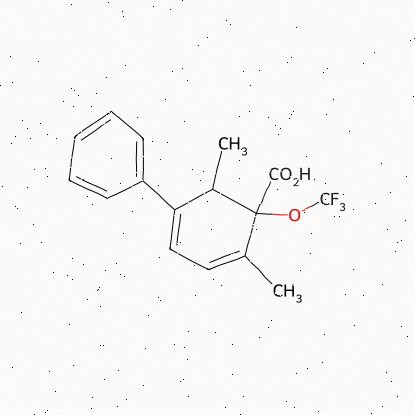 CC1=CC=C(c2ccccc2)C(C)C1(OC(F)(F)F)C(=O)O